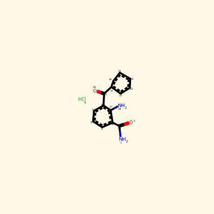 Cl.NC(=O)c1cccc(C(=O)c2ccccc2)c1N